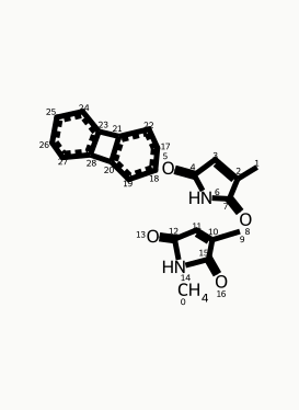 C.CC1=CC(=O)NC1=O.CC1=CC(=O)NC1=O.c1ccc2c(c1)-c1ccccc1-2